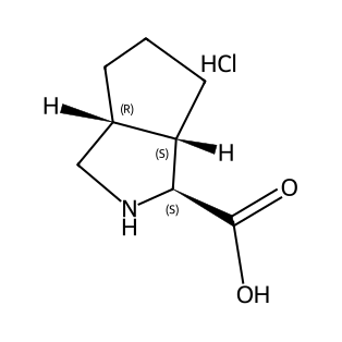 Cl.O=C(O)[C@H]1NC[C@@H]2CCC[C@@H]21